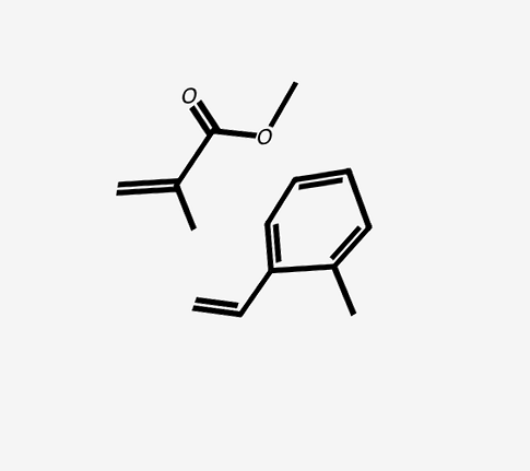 C=C(C)C(=O)OC.C=Cc1ccccc1C